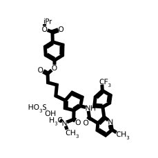 Cc1ccc(C(=O)Nc2ccc(CCCC(=O)Oc3ccc(C(=O)OC(C)C)cc3)cc2C(=O)N(C)C)c(-c2ccc(C(F)(F)F)cc2)n1.O=S(=O)(O)O